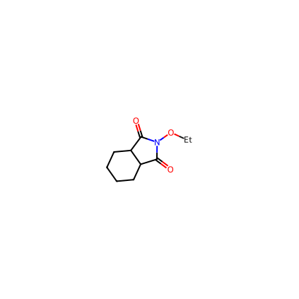 CCON1C(=O)C2CCCCC2C1=O